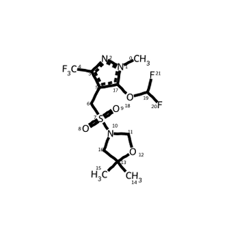 Cn1nc(C(F)(F)F)c(CS(=O)(=O)N2COC(C)(C)C2)c1OC(F)F